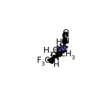 CC1\C=C(N[C@@H](C)c2cccc(NC(=O)c3cccc(C(F)(F)F)c3)c2)/N=C(c2ccc(N3CCOCC3)nc2)\C=C\C1